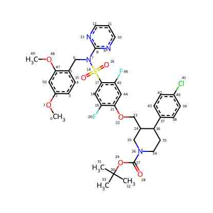 COc1ccc(CN(c2ncccn2)S(=O)(=O)c2cc(F)c(OCC3CN(C(=O)OC(C)(C)C)CCC3c3ccc(Cl)cc3)cc2F)c(OC)c1